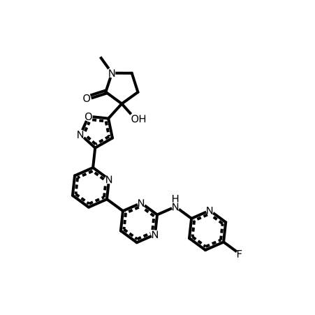 CN1CCC(O)(c2cc(-c3cccc(-c4ccnc(Nc5ccc(F)cn5)n4)n3)no2)C1=O